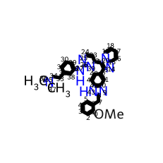 COc1ccccc1Cc1nc2cc(-c3nc4ccccn4c3-c3ccnc(Nc4cccc(CCN(C)C)c4)n3)ccc2[nH]1